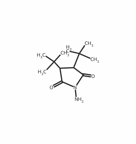 CC(C)(C)C1C(=O)N(N)C(=O)C1C(C)(C)C